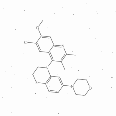 COc1cc2nc(C)c(C)c(N3CCSc4ccc(N5CCOCC5)cc43)c2cc1Cl